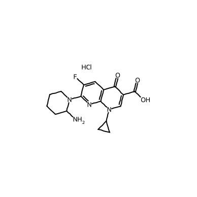 Cl.NC1CCCCN1c1nc2c(cc1F)c(=O)c(C(=O)O)cn2C1CC1